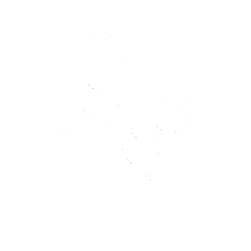 Cc1cc(F)c(NC(=O)NCCC2(C)CC2)cc1-c1nc(NCCO)cc(N2CCOCC2)n1